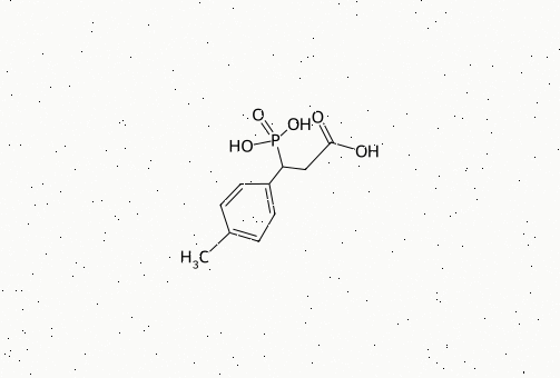 Cc1ccc(C(CC(=O)O)P(=O)(O)O)cc1